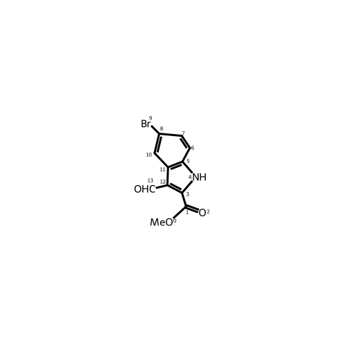 COC(=O)c1[nH]c2ccc(Br)cc2c1C=O